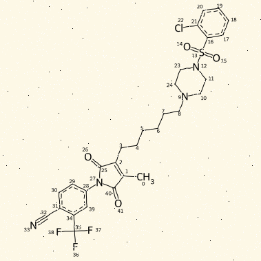 CC1=C(CCCCCCN2CCN(S(=O)(=O)c3ccccc3Cl)CC2)C(=O)N(c2ccc(C#N)c(C(F)(F)F)c2)C1=O